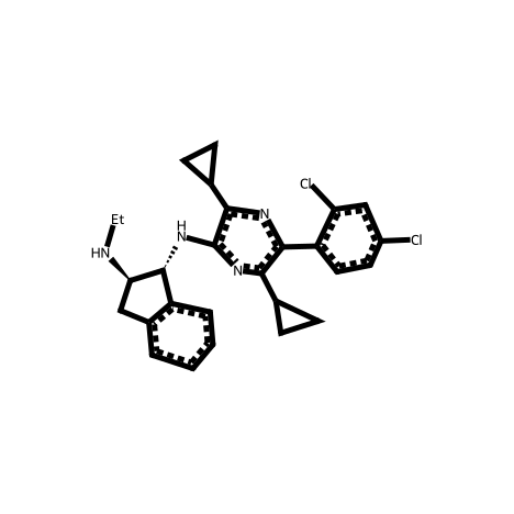 CCN[C@@H]1Cc2ccccc2[C@H]1Nc1nc(C2CC2)c(-c2ccc(Cl)cc2Cl)nc1C1CC1